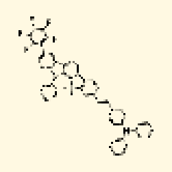 CC1(C)c2cc(/C=C/c3ccc(N(c4ccccc4)c4ccccc4)cc3)ccc2-c2ccc3c4cc(-c5c(F)c(F)c(F)c(F)c5F)ccc4n(-c4ccccc4)c3c21